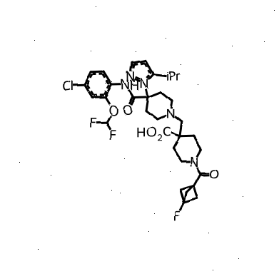 CC(C)c1ccnn1C1(C(=O)Nc2ccc(Cl)cc2OC(F)F)CCN(CC2(C(=O)O)CCN(C(=O)C34CC(F)(C3)C4)CC2)CC1